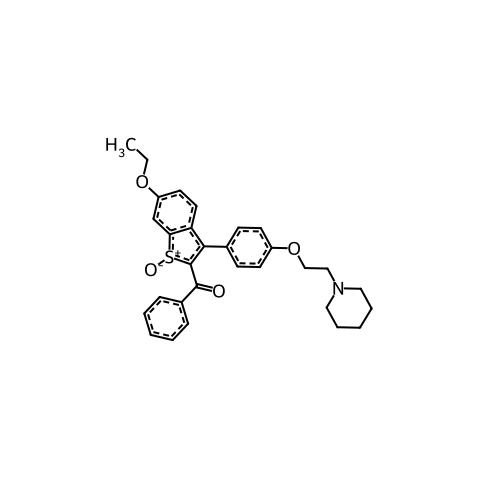 CCOc1ccc2c(-c3ccc(OCCN4CCCCC4)cc3)c(C(=O)c3ccccc3)[s+]([O-])c2c1